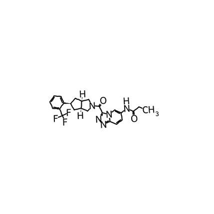 CCC(=O)Nc1ccc2nnc(C(=O)N3C[C@H]4C[C@@H](c5ccccc5C(F)(F)F)C[C@H]4C3)n2c1